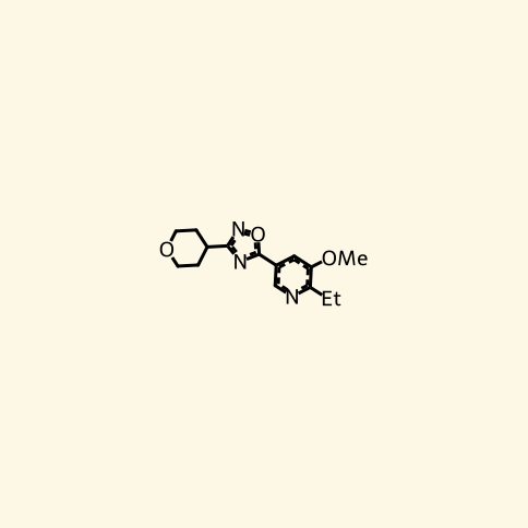 CCc1ncc(-c2nc(C3CCOCC3)no2)cc1OC